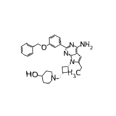 CCc1cc2c(N)nc(-c3cccc(OCc4ccccc4)c3)nc2n1[C@H]1C[C@@H](CN2CCC(O)CC2)C1